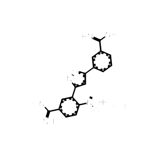 Cl.Cl.N=C(N)c1cccc(-c2cc(-c3cc(C(=N)N)ccc3[N+](=O)[O-])no2)c1